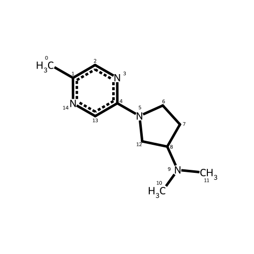 Cc1cnc(N2CCC(N(C)C)C2)cn1